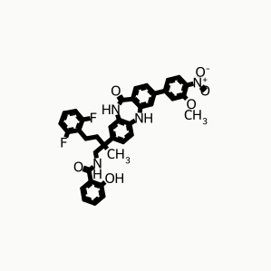 COc1cc(-c2ccc3c(c2)Nc2ccc(C(C)(CCc4c(F)cccc4F)CNC(=O)c4ccccc4O)cc2NC3=O)ccc1[N+](=O)[O-]